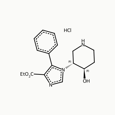 CCOC(=O)c1ncn([C@@H]2CNCC[C@H]2O)c1-c1ccccc1.Cl